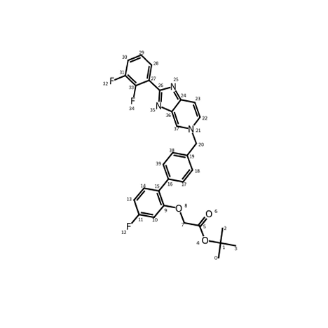 CC(C)(C)OC(=O)COc1cc(F)ccc1-c1ccc(Cn2ccc3nc(-c4cccc(F)c4F)nc-3c2)cc1